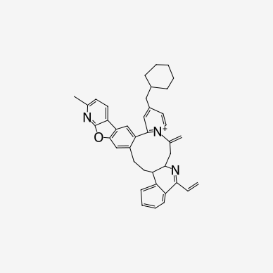 C=CC1=NC2CC(=C)[n+]3ccc(CC4CCCCC4)cc3-c3cc4c(cc3CCC2c2ccccc21)oc1nc(C)ccc14